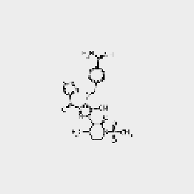 CS(=O)(=O)N1CCC(C(F)(F)F)C(c2nn(C(=O)c3cscn3)c(SCc3ccc(C(=N)N)cc3)c2C#N)C1=O